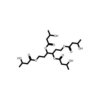 CC(O)CC(=O)OCCC(OC(=O)CC(C)O)C(CCOC(=O)CC(C)O)OC(=O)CC(C)O